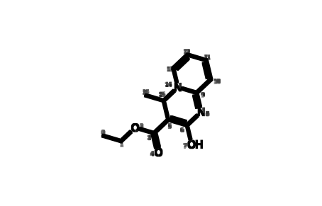 CCOC(=O)C1=C(O)N=C2C=CC=CN2C1C